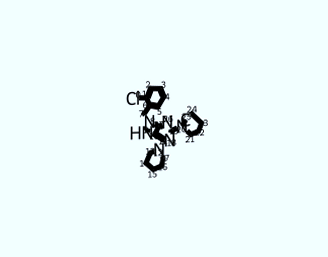 Clc1ccccc1Cn1[nH]c2c(N3CCCCC3)nc(N3CCCCC3)nc21